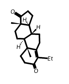 CCC1=C2CC[C@@H]3[C@H](CC[C@]4(C)C(=O)CC[C@@H]34)[C@@]2(C)CCC1=O